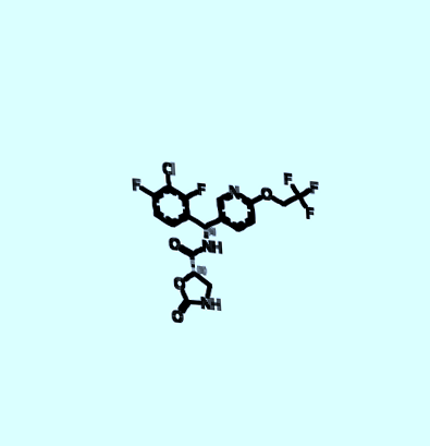 O=C1NC[C@@H](C(=O)N[C@@H](c2ccc(OCC(F)(F)F)nc2)c2ccc(F)c(Cl)c2F)O1